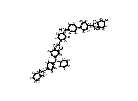 c1ccc(N(c2ccc(-c3nc4ccccc4o3)cc2)c2ccc3nc(-c4ccc(Nc5ccc(-c6ccc(-c7nc8ccccc8o7)cc6)cc5)cc4)oc3c2)cc1